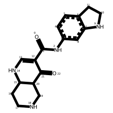 O=C(Nc1ccc2c(c1)NCC2)C1=CNC2CCNCC2C1=O